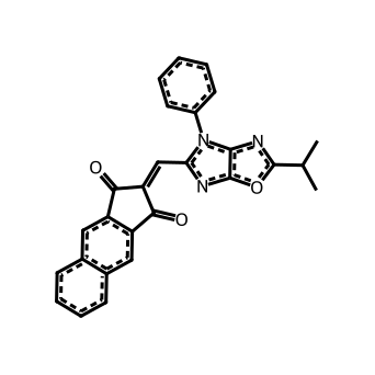 CC(C)c1nc2c(nc(C=C3C(=O)c4cc5ccccc5cc4C3=O)n2-c2ccccc2)o1